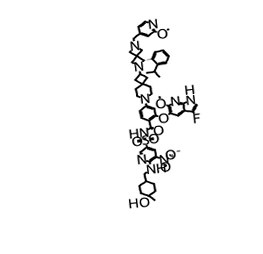 COc1cc(CN2CC3(C2)CN(C2CC4(CCN(c5ccc(C(=O)NS(=O)(=O)c6cnc(NCC7CCC(C)(O)CC7)c([N+](=O)[O-])c6)c(Oc6cc7c(F)c[nH]c7nc6OC)c5)CC4)C2)[C@H]3c2ccccc2C(C)C)ccn1